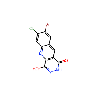 O=c1[nH]nc(O)c2nc3cc(Cl)c(Br)cc3cc12